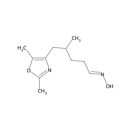 Cc1nc(CC(C)CCC=NO)c(C)o1